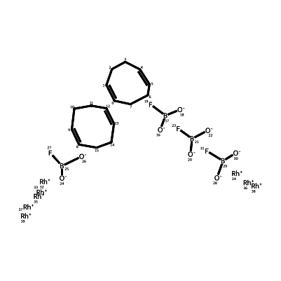 C1=CCCC=CCC1.C1=CCCC=CCC1.[O-]B([O-])F.[O-]B([O-])F.[O-]B([O-])F.[O-]B([O-])F.[Rh+].[Rh+].[Rh+].[Rh+].[Rh+].[Rh+].[Rh+].[Rh+]